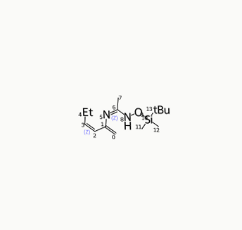 C=C(/C=C\CC)/N=C(/C)NO[Si](C)(C)C(C)(C)C